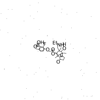 CCNCC1(C)CC(OC(=O)COc2ccc3c(c2F)B(O)OC3)C2(C)C(C)CCC3(CCC(=O)C32)C(C)C1O